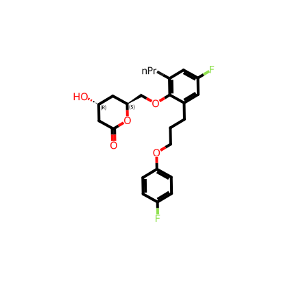 CCCc1cc(F)cc(CCCOc2ccc(F)cc2)c1OC[C@@H]1C[C@@H](O)CC(=O)O1